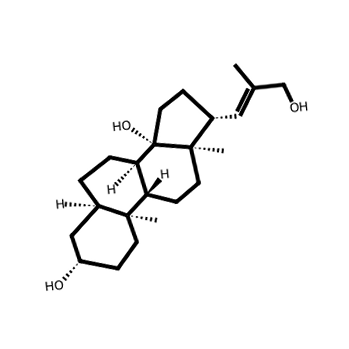 C/C(=C\[C@H]1CC[C@]2(O)[C@@H]3CC[C@@H]4C[C@@H](O)CC[C@]4(C)[C@H]3CC[C@]12C)CO